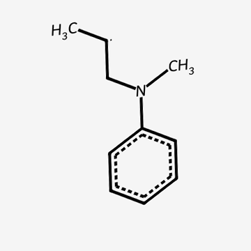 C[CH]CN(C)c1ccccc1